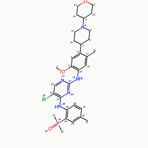 COc1cc(C2CCN(C3CCOCC3)CC2)c(C)cc1Nc1ncc(Br)c(Nc2ccc(C)cc2P(C)(C)=O)n1